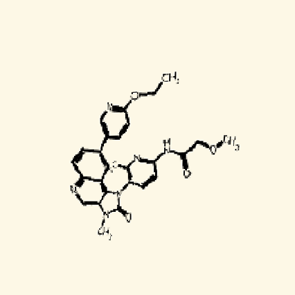 CCOc1ccc(-c2ccc3ncc4c(c3c2)n(-c2ccc(NC(=O)COC)nc2C)c(=O)n4C)cn1